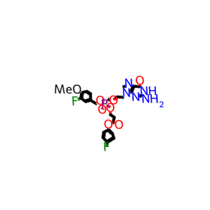 COc1ccc(COP(=O)(COCCn2cnc3c(=O)[nH]c(N)nc32)OCCC(=O)Oc2ccc(F)cc2)cc1F